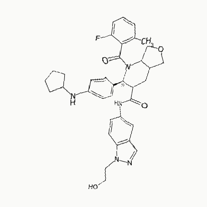 Cc1cccc(F)c1C(=O)N1C2COCC2CC(C(=O)Nc2ccc3c(cnn3CCO)c2)[C@H]1c1ccc(NC2CCCC2)cc1